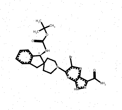 CC(C)(C)OC(=O)N[C@@H]1c2ccccc2CC12CCN(c1nc3[nH]nc(C(N)=O)c3nc1Br)CC2